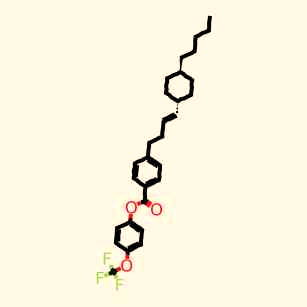 CCCCC[C@H]1CC[C@H](C=CCCc2ccc(C(=O)Oc3ccc(OC(F)(F)F)cc3)cc2)CC1